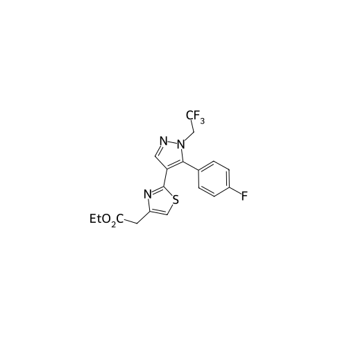 CCOC(=O)Cc1csc(-c2cnn(CC(F)(F)F)c2-c2ccc(F)cc2)n1